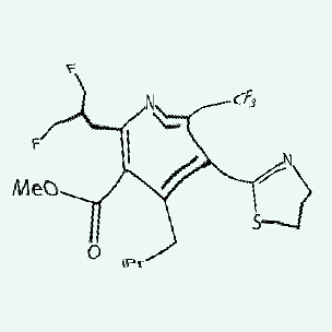 COC(=O)c1c(C(F)F)nc(C(F)(F)F)c(C2=NCCS2)c1CC(C)C